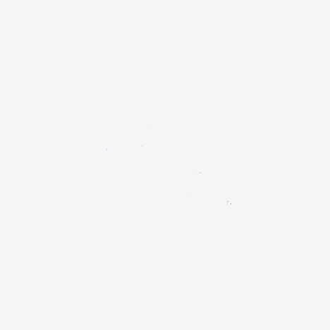 CO/C=C(/Oc1cc(C(O)C=N)ccc1C)C(=O)OC